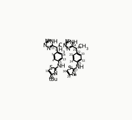 C[C@H](c1ccc(Nc2nc(C(C)(C)C)cs2)cc1)c1nnn[nH]1.C[C@H](c1ccc(Nc2nccs2)cc1)c1nnn[nH]1